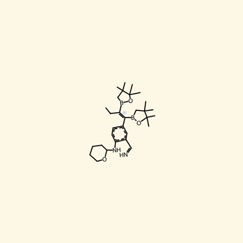 CC/C(B1CC(C)(C)C(C)(C)O1)=C(/B1CC(C)(C)C(C)(C)O1)c1ccc(NC2CCCCO2)c(C=N)c1